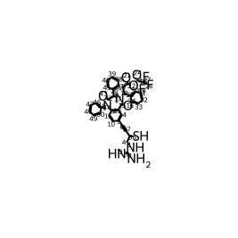 N=C(N)NCC(S)C#Cc1ccc2c(c1)C(=O)N(C(CC(=O)OC(=O)C(F)(F)F)c1ccccc1)C(c1ccccc1)C(=O)N2c1ccccc1